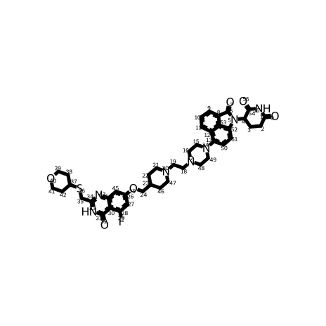 O=C1CCC(N2C(=O)c3cccc4c(N5CCN(CCN6CCC(COc7cc(F)c8c(=O)[nH]c(CSC9CCOCC9)nc8c7)CC6)CC5)ccc2c34)C(=O)N1